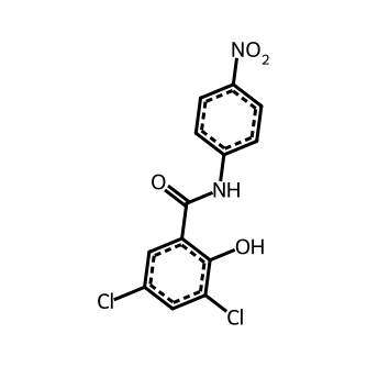 O=C(Nc1ccc([N+](=O)[O-])cc1)c1cc(Cl)cc(Cl)c1O